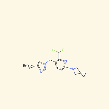 CCOC(=O)c1cn(Cc2ccc(N3CC4(CC4)C3)nc2C(F)F)cn1